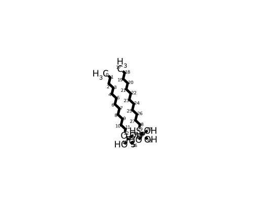 CCCCCCCCCCCCOP(O)(O)=S.CCCCCCCCCCCC[SH]=P(O)(O)O